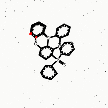 S=P(c1ccccc1)(c1ccccc1)c1ccc2c3c1Oc1ccccc1[Si]3(c1ccccc1)c1ccccc1O2